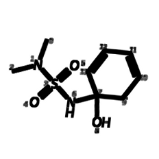 CN(C)S(=O)(=O)NC1(O)[CH]C=CC=C1